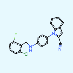 N#Cc1cc2ccccc2n1-c1ccc(NCc2c(F)cccc2Cl)cc1